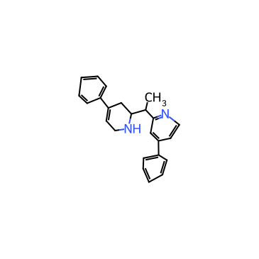 CC(c1cc(-c2ccccc2)ccn1)C1CC(c2ccccc2)=CCN1